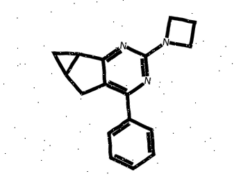 c1ccc(-c2nc(N3CCC3)nc3c2CC2CC32)cc1